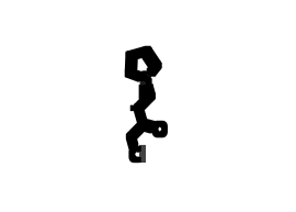 O=C([CH]C[SH]1C=CC=C1)CCl